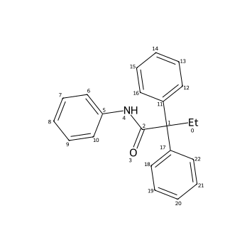 CCC(C(=O)Nc1ccccc1)(c1ccccc1)c1ccccc1